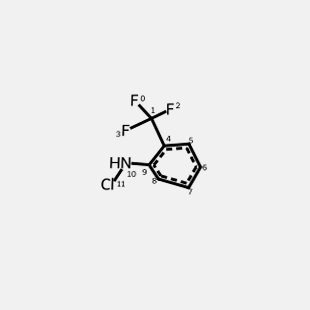 FC(F)(F)c1ccccc1NCl